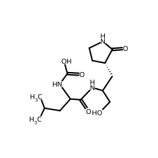 CC(C)CC(NC(=O)O)C(=O)NC(CO)C[C@@H]1CCNC1=O